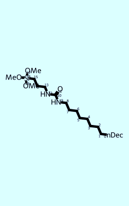 CCCCCCCCCCCCCCCCCCNC(=O)NCCC[Si](OC)(OC)OC